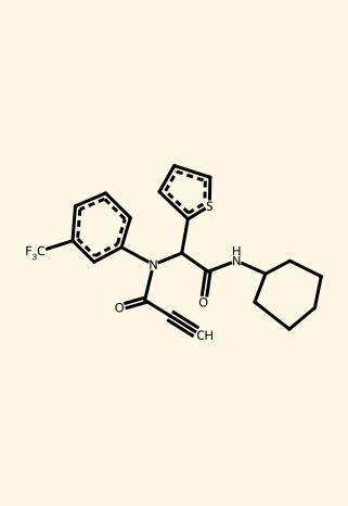 C#CC(=O)N(c1cccc(C(F)(F)F)c1)C(C(=O)NC1CCCCC1)c1cccs1